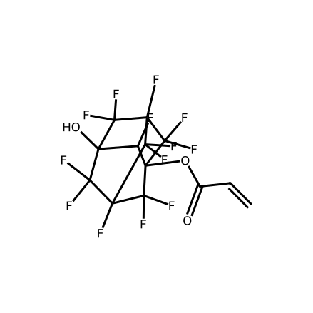 C=CC(=O)OC12C(F)C3(O)C(F)(F)C(F)(C1(F)F)C(F)(F)C(F)(C3(F)F)C2(F)F